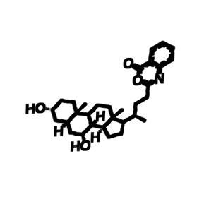 C[C@H](CCc1nc2ccccc2c(=O)o1)[C@H]1CC[C@H]2[C@H]3C(CC[C@]12C)[C@@]1(C)CC[C@@H](O)C[C@H]1C[C@@H]3O